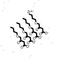 CCCCOCC(=O)CC(=O)[O-].CCCCOCC(=O)CC(=O)[O-].CCCCOCC(=O)CC(=O)[O-].CCCCOCC(=O)CC(=O)[O-].[Zr+4]